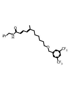 CC(=CC=CC(=O)NCC(C)C)CCCCCCOCc1cc(C(F)(F)F)cc(C(F)(F)F)c1